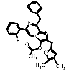 CC(=O)Oc1c(Cc2cc(C)c(C)o2)nc2c(Cc3ccccc3)nc(-c3ccccc3F)cn12